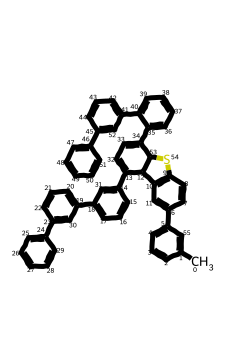 Cc1cccc(-c2ccc3c(c2)C2C(c4cccc(-c5cccc(-c6ccccc6)c5)c4)=CC=C(c4ccccc4-c4cccc(-c5ccccc5)c4)C2S3)c1